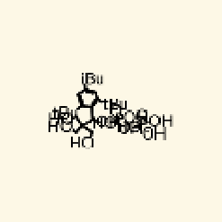 CCC(C)c1cc(C(C)(C)C)c(C(O)C(CO)(CO)CO)c(C(C)(C)C)c1.O=P(O)(O)O.O=P(O)(O)O